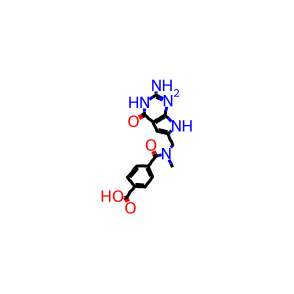 CN(Cc1cc2c(=O)[nH]c(N)nc2[nH]1)C(=O)c1ccc(C(=O)O)cc1